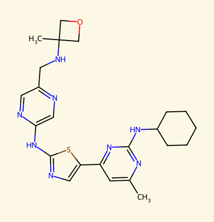 Cc1cc(-c2cnc(Nc3cnc(CNC4(C)COC4)cn3)s2)nc(NC2CCCCC2)n1